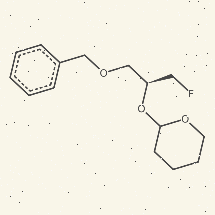 FC[C@H](COCc1ccccc1)OC1CCCCO1